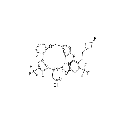 Cc1cccc2c1-c1cc(c(F)c(C(F)(F)F)c1)[C@H](CC(=O)O)NC(=O)[C@@H](n1cc(CCN3CC(F)C3)c(C(F)(F)F)cc1=O)c1cc(ccc1F)CO2